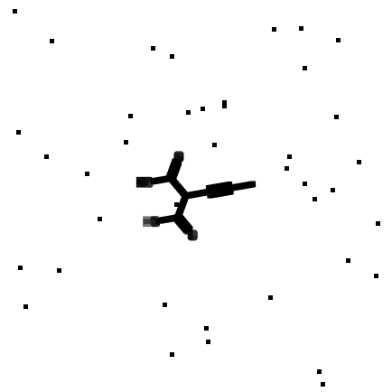 CC#CC(C(=O)O)C(=O)O